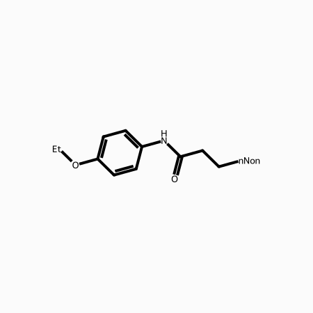 CCCCCCCCCCCC(=O)Nc1ccc(OCC)cc1